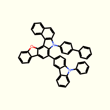 c1ccc(-c2ccc(-n3c4ccc5ccccc5c4c4c5oc6ccccc6c5cc(-c5ccc6c(c5)c5ccccc5n6-c5ccccc5)c43)cc2)cc1